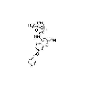 CC(C)(C)OC(=O)N[C@@H](CC(=O)O)c1ccc(OCc2ccccc2)cc1